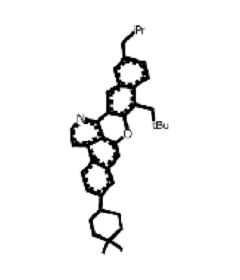 CC(C)Cc1ccc2c(CC(C)(C)C)c3c(cc2c1)-c1nccc2c1c(cc1cc(C4CCC(C)(C)CC4)ccc12)O3